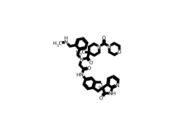 CNCc1ccccc1CN(CC(=O)Nc1ccc2c(c1)C[C@@]1(C2)C(=O)Nc2ncccc21)C(=O)C1(C)CCN(C(=O)N2CCOCC2)CC1